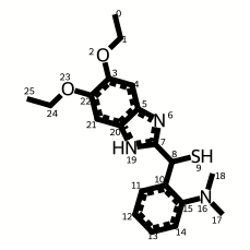 CCOc1cc2nc(C(S)c3ccccc3N(C)C)[nH]c2cc1OCC